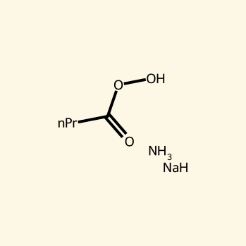 CCCC(=O)OO.N.[NaH]